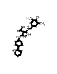 Cc1cc(CNc2[nH]nc(Nc3ccc(C4=CC=CCN4)cc3)c2C(N)=O)cc(C)c1O